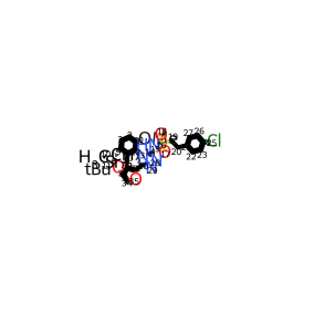 COc1cccc(CO[Si](C)(C)C(C)(C)C)c1-n1c(NS(=O)(=O)CCc2ccc(Cl)cc2)nnc1-c1ccco1